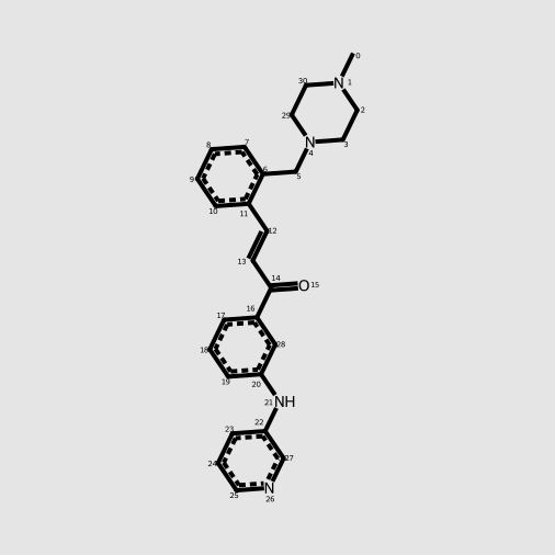 CN1CCN(Cc2ccccc2C=CC(=O)c2cccc(Nc3cccnc3)c2)CC1